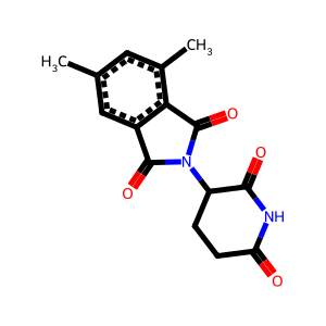 Cc1cc(C)c2c(c1)C(=O)N(C1CCC(=O)NC1=O)C2=O